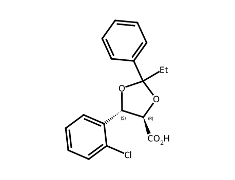 CCC1(c2ccccc2)O[C@@H](C(=O)O)[C@H](c2ccccc2Cl)O1